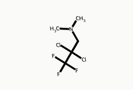 CN(C)CC(Cl)(Cl)C(F)(F)F